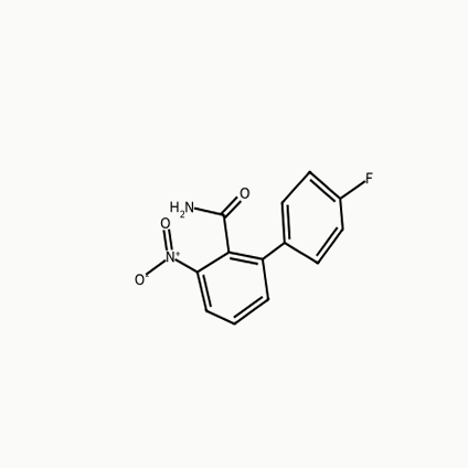 NC(=O)c1c(-c2ccc(F)cc2)cccc1[N+](=O)[O-]